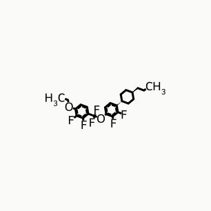 CCC[C@H]1CC[C@H](c2ccc(OC(F)(F)c3ccc(OCC)c(F)c3F)c(F)c2F)CC1